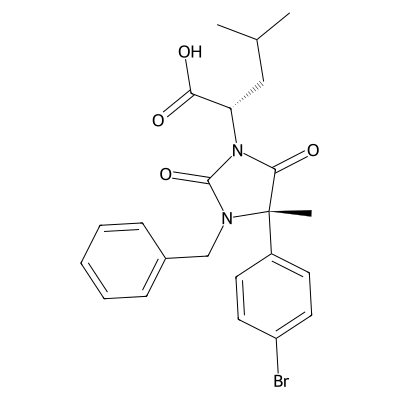 CC(C)C[C@@H](C(=O)O)N1C(=O)N(Cc2ccccc2)[C@@](C)(c2ccc(Br)cc2)C1=O